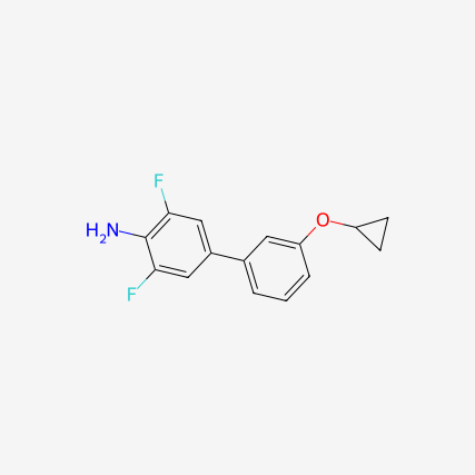 Nc1c(F)cc(-c2cccc(OC3CC3)c2)cc1F